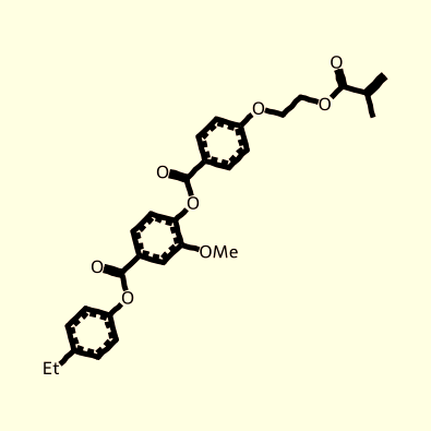 C=C(C)C(=O)OCCOc1ccc(C(=O)Oc2ccc(C(=O)Oc3ccc(CC)cc3)cc2OC)cc1